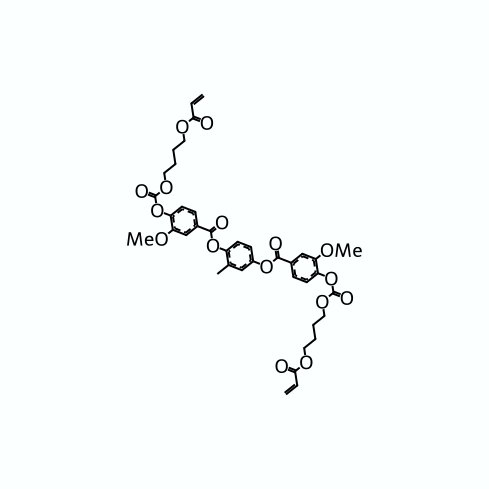 C=CC(=O)OCCCCOC(=O)Oc1ccc(C(=O)Oc2ccc(OC(=O)c3ccc(OC(=O)OCCCCOC(=O)C=C)c(OC)c3)c(C)c2)cc1OC